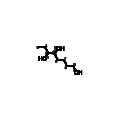 CCC(O)C(O)CCCCO